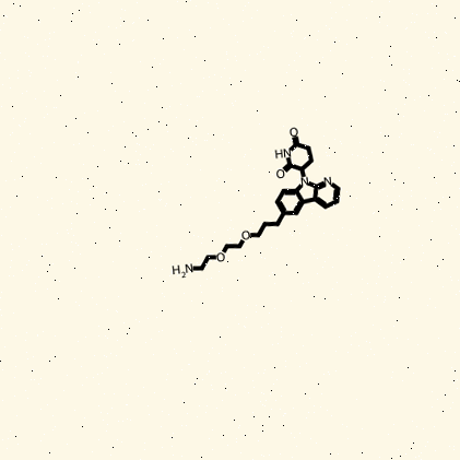 NCCOCCOCCCc1ccc2c(c1)c1cccnc1n2C1CCC(=O)NC1=O